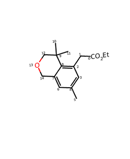 CCOC(=O)Cc1cc(C)cc2c1C(C)(C)COC2